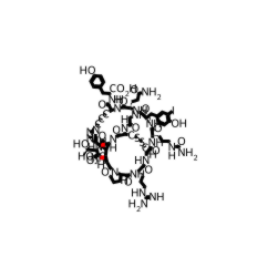 C[C@@H](O)[C@@H]1NC(=O)[C@H]2NC(=O)C(NC(=O)CN)CSSC[C@@H]3NC(=O)[C@H](CCCNC(=N)N)NC(=O)[C@@H]4CCCN4C(=O)[C@@H](NC1=O)C(C(=O)O)C2c1cn(nn1)CCCC(C(=O)N[C@@H](Cc1ccc(O)cc1)C(=O)O)NC(=O)[C@H](CCC(N)=O)NC(=O)C(Cc1ccc(O)c(I)c1)NC(=O)[C@H](CCCNC(N)=O)NC3=O